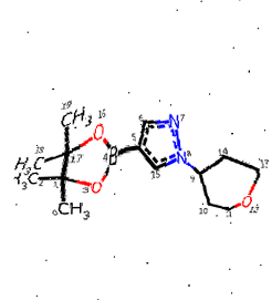 CC1(C)OB(c2cnn(C3CCOCC3)c2)OC1(C)C